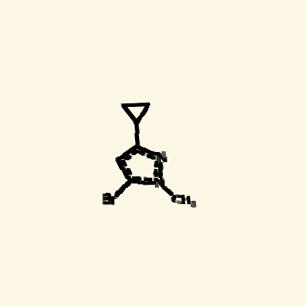 Cn1nc(C2CC2)cc1Br